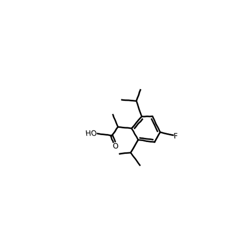 CC(C)c1cc(F)cc(C(C)C)c1C(C)C(=O)O